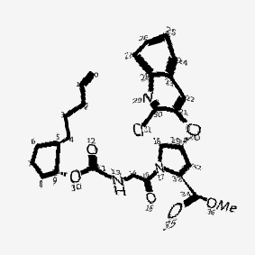 C=CCCC[C@@H]1CCC[C@H]1OC(=O)NCC(=O)N1C[C@H](Oc2cc3ccccc3nc2Cl)C[C@H]1C(=O)OC